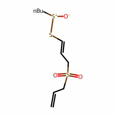 C=CCS(=O)(=O)C/C=C/S[S+]([O-])CCCC